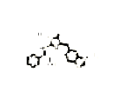 CN1C(=O)/C(=C/c2ccc3ncn(C)c3c2)N=C1N[C@@H](CO)c1ccccc1